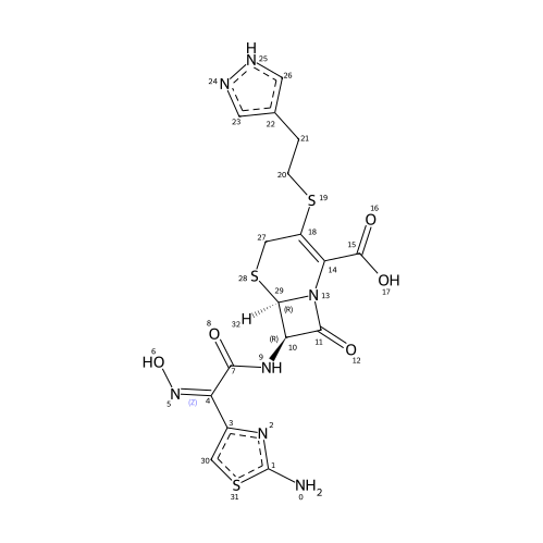 Nc1nc(/C(=N/O)C(=O)N[C@@H]2C(=O)N3C(C(=O)O)=C(SCCc4cn[nH]c4)CS[C@H]23)cs1